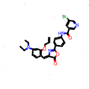 C=CCOc1cc(N(CC)CC)ccc1C=C1N=C(c2ccc(NC(=O)c3cncc(Br)c3)cc2)OC1=O